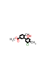 COC(=O)c1ccc(C)c(-c2cc(Cl)c(C)cc2O)c1